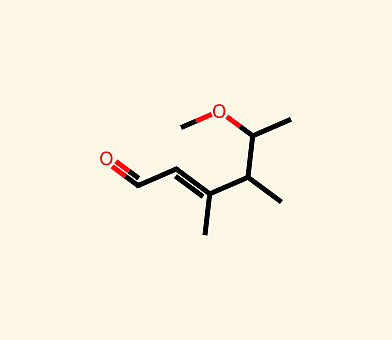 COC(C)C(C)C(C)=CC=O